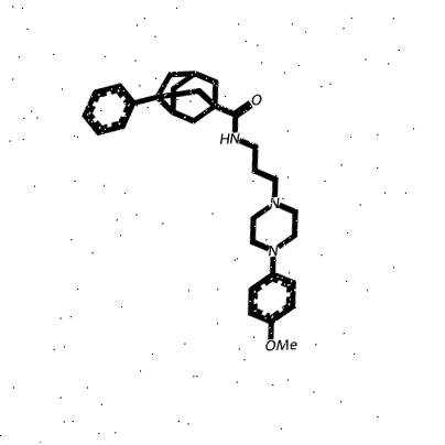 COc1ccc(N2CCN(CCCNC(=O)C34CC5CC(C3)C(c3ccccc3)(C5)C4)CC2)cc1